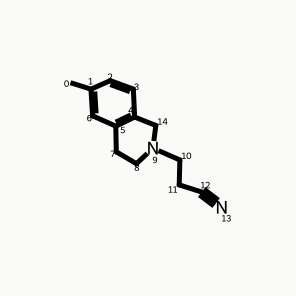 Cc1ccc2c(c1)CCN(CCC#N)C2